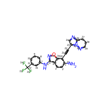 Nc1ccc2c(Nc3cccc(C(F)(F)F)c3)noc2c1C#Cc1cnc2cccnn12